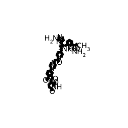 CCC(c1cccc(-c2nc(C3CCN(C(=O)CN4CCN(c5ccc6c(c5)C(=O)N(C5CCC(=O)NC5=O)C6=O)CC4)CC3)sc2-c2ccnc(N)n2)c1F)S(N)(=O)=O